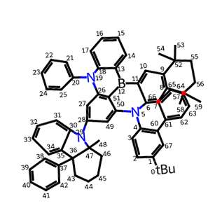 CC(C)(C)c1ccc(N2c3cc4c(cc3B3c5ccccc5N(c5ccccc5)c5cc(N6c7ccccc7C7(c8ccccc8)CCCCC67C)cc2c53)C(C)(C)CCC4(C)C)c(-c2ccccc2)c1